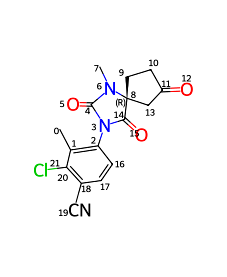 Cc1c(N2C(=O)N(C)[C@@]3(CCC(=O)C3)C2=O)ccc(C#N)c1Cl